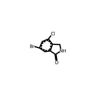 O=C1NCc2c(Cl)cc(Br)cc21